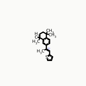 C/C(=C\c1cccs1)c1ccc2c(c1)C(C)(C)CCC2(C)C